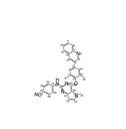 Cc1cc(-c2cnc3ccccc3c2)cc(C)c1Oc1nc(Nc2ccc(C#N)cc2)nc2ccn(C)c12